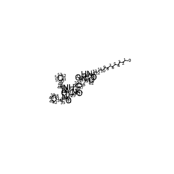 CCCCCCCCCCCCCCC(=O)N[C@@H]1CN(C(=O)c2ccc(C(=O)N3C[C@@H](C(=O)N[C@H]4C[C@@H]4c4ccccc4)[C@H](C(=O)N[C@H]4C[C@@H]4c4ccccc4)C3)cc2)C[C@H]1OC